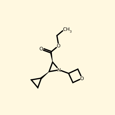 CCOC(=O)[C@@H]1[C@H](C2CC2)N1C1COC1